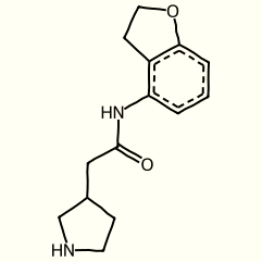 O=C(CC1CCNC1)Nc1cccc2c1CCO2